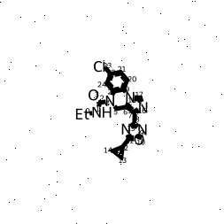 CCNC(=O)N1Cc2c(-c3noc(C4CC4)n3)ncn2-c2ccc(Cl)cc21